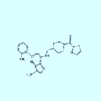 Bc1cnn2c(NCC3CCN(C(=O)C4CC=CO4)CC3)cc(-c3ccccc3C)nc12